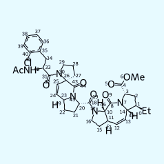 CC[C@@H]1C[C@@H](C(=O)OC)N2C(=O)[C@@H]3[C@@H](C=C[C@@H]12)CCN3C(=O)[C@@H]1CC[C@H]2C=C[C@]3(CCCN3C(=O)[C@H](Cc3ccccc3Cl)NC(C)=O)C(=O)N21